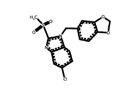 CS(=O)(=O)c1nc2cc(Cl)ccc2n1Cc1ccc2c(c1)OCO2